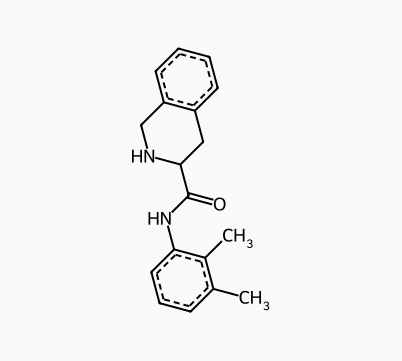 Cc1cccc(NC(=O)C2Cc3ccccc3CN2)c1C